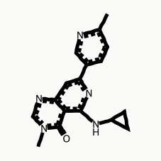 Cc1ccc(-c2cc3ncn(C)c(=O)c3c(NC3CC3)n2)cn1